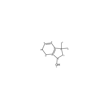 CC1(C)CC(O)C2=C1C=CCC2